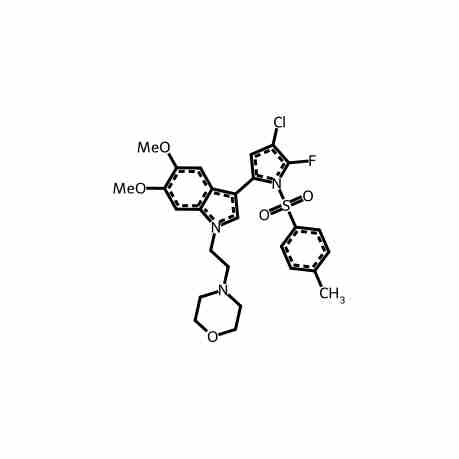 COc1cc2c(-c3cc(Cl)c(F)n3S(=O)(=O)c3ccc(C)cc3)cn(CCN3CCOCC3)c2cc1OC